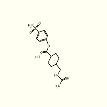 Cl.N=C(N)NCC1CCC(C(=O)Oc2ccc(S(N)(=O)=O)cc2)CC1